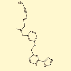 CN(CC=CC#CC(C)(C)C)Cc1cccc(OCc2ccnc(-c3cnco3)c2)c1